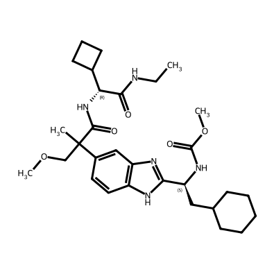 CCNC(=O)[C@H](NC(=O)C(C)(COC)c1ccc2[nH]c([C@H](CC3CCCCC3)NC(=O)OC)nc2c1)C1CCC1